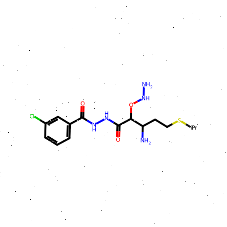 CC(C)SCCC(N)C(ONN)C(=O)NNC(=O)c1cccc(Cl)c1